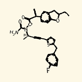 CCC1Cc2cc(C(C)C(=O)ON(C(N)=O)[C@H](C)C#Cc3ccc(Cc4ccc(F)cc4)s3)ccc2O1